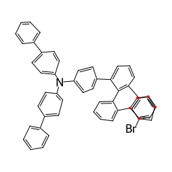 Brc1ccccc1-c1ccccc1-c1c(-c2ccccc2)cccc1-c1ccc(N(c2ccc(-c3ccccc3)cc2)c2ccc(-c3ccccc3)cc2)cc1